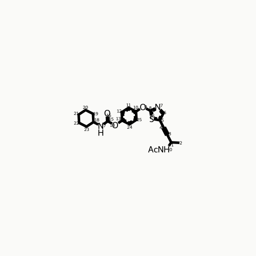 CC(=O)NC(C)C#Cc1cnc(Oc2ccc(OC(=O)NC3CCCCC3)cc2)s1